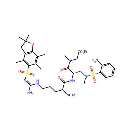 CCOC(=O)CN(C)C(=O)[C@H](CN(C)S(=O)(=O)c1ccccc1[N+](=O)[O-])NC(=O)[C@H](CCCN/C(N)=N\S(=O)(=O)c1c(C)c(C)c2c(c1C)CC(C)(C)O2)NC(C)=O